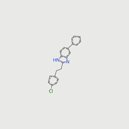 Clc1ccc(CCc2nc3cc(-c4ccccc4)ccc3[nH]2)cc1